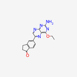 CCOc1nc(N)nc2ncc(-c3ccc4c(c3)CCC4=O)nc12